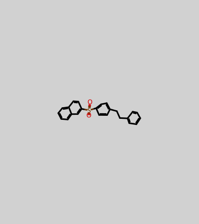 O=S(=O)(c1ccc(CCc2ccccc2)cc1)c1ccc2ccccc2c1